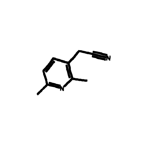 Cc1ccc(CC#N)c(C)n1